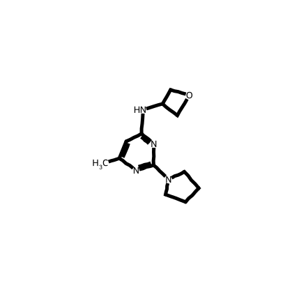 Cc1cc(NC2COC2)nc(N2CCCC2)n1